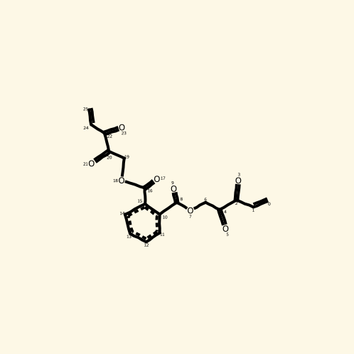 C=CC(=O)C(=O)COC(=O)c1ccccc1C(=O)OCC(=O)C(=O)C=C